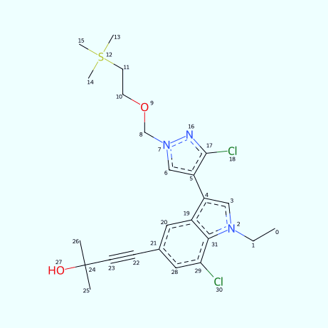 CCn1cc(-c2cn(COCCS(C)(C)C)nc2Cl)c2cc(C#CC(C)(C)O)cc(Cl)c21